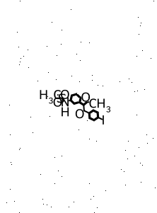 Cc1oc2ccc(NS(C)(=O)=O)cc2c1C(=O)c1ccc(I)cc1